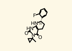 CC1(n2c(=O)[nH]c3c(c2=O)CC[C@@H](c2ccccc2F)N3)CC1